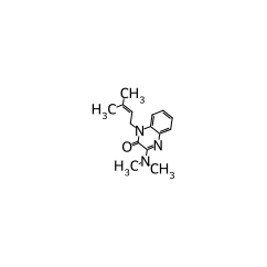 CC(C)=CCn1c(=O)c(N(C)C)nc2ccccc21